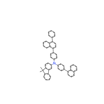 CC1(C)c2ccccc2-c2cc(N(c3ccc(-c4cccc5ccccc45)cc3)c3ccc(-c4ccc(-c5ccccc5)c5ccccc45)cc3)ccc21